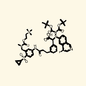 CN(Cc1cc(NC(=O)CCc2cccc(C(C(=O)O)N(c3ccc4cncc(F)c4c3)N(C(=O)OC(C)(C)C)C(=O)OC(C)(C)C)c2)ccc1S(=O)(=O)C1CC1)C(=O)OCC[Si](C)(C)C